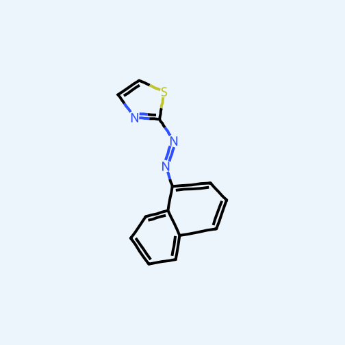 c1ccc2c(/N=N/c3nccs3)cccc2c1